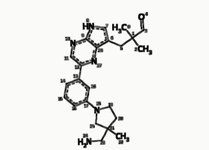 CC(C)(C=O)Cc1c[nH]c2ncc(-c3cccc(N4CCC(C)(CN)C4)c3)nc12